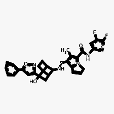 Cc1c(SNC2C3CCC34C2CC4(O)c2cc(-c3ccccc3)on2)c2n(c1C(=O)Nc1ccc(F)c(F)c1)CC=C2